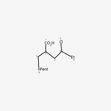 CCCCCCC(CC(Cl)CC)C(=O)O